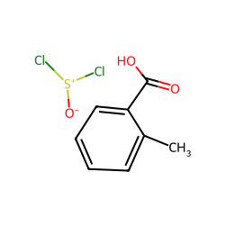 Cc1ccccc1C(=O)O.[O-][S+](Cl)Cl